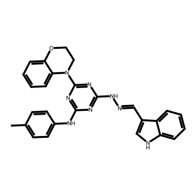 Cc1ccc(Nc2nc(N/N=C/c3c[nH]c4ccccc34)nc(N3CCOc4ccccc43)n2)cc1